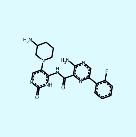 Nc1ncc(-c2ccccc2F)nc1C(=O)Nc1[nH]c(=O)ncc1N1CCCC(N)C1